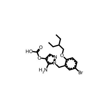 CCC(CC)COc1ccc(Br)cc1Cn1ncc(OC(=O)O)c1N